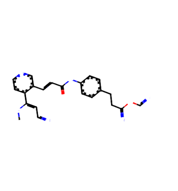 CN/C(=C\C=N)c1ccncc1/C=C/C(=O)Nc1ccc(CCC(=N)OC=N)cc1